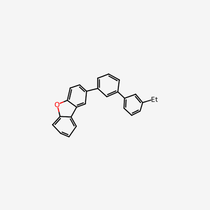 CCc1cccc(-c2cccc(-c3ccc4oc5ccccc5c4c3)c2)c1